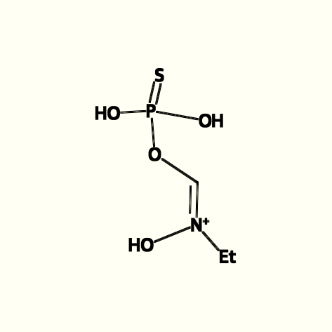 CC[N+](O)=COP(O)(O)=S